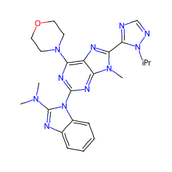 CC(C)n1ncnc1-c1nc2c(N3CCOCC3)nc(-n3c(N(C)C)nc4ccccc43)nc2n1C